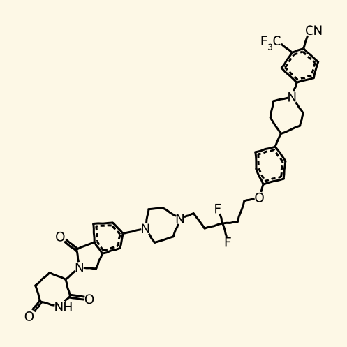 N#Cc1ccc(N2CCC(c3ccc(OCCC(F)(F)CCN4CCN(c5ccc6c(c5)CN(C5CCC(=O)NC5=O)C6=O)CC4)cc3)CC2)cc1C(F)(F)F